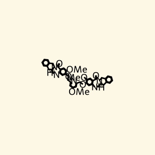 COc1cc(COc2cc3c(cc2OC)C(=O)N2Cc4ccccc4C[C@H]2C=N3)nc(COc2cc3c(cc2OC)C(=O)N2Cc4ccccc4C[C@H]2C=N3)c1